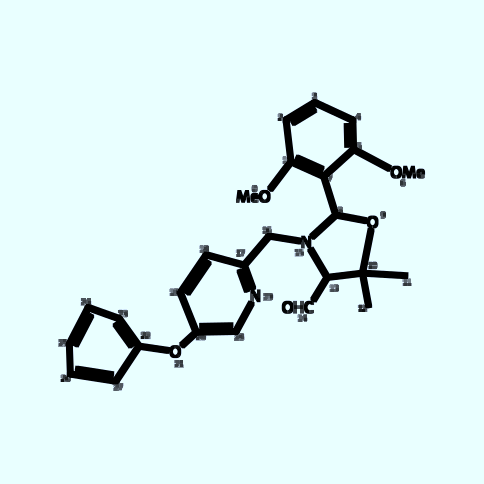 COc1cccc(OC)c1C1OC(C)(C)C(C=O)N1Cc1ccc(Oc2ccccc2)cn1